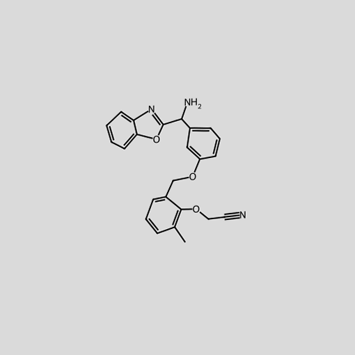 Cc1cccc(COc2cccc(C(N)c3nc4ccccc4o3)c2)c1OCC#N